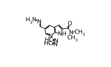 C#N.C#N.CN(C)C(=O)c1cc2cc(C=NN)cnc2[nH]1